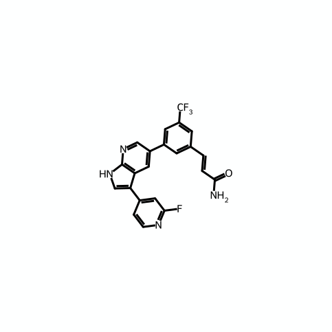 NC(=O)C=Cc1cc(-c2cnc3[nH]cc(-c4ccnc(F)c4)c3c2)cc(C(F)(F)F)c1